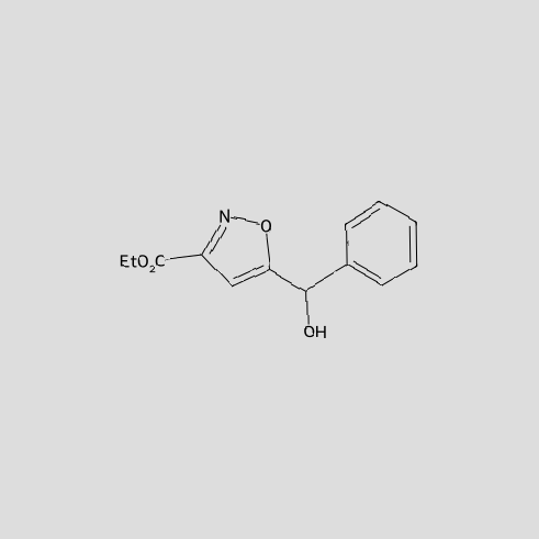 CCOC(=O)c1cc(C(O)c2ccccc2)on1